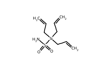 C=CC[Si](CC=C)(CC=C)S(N)(=O)=O